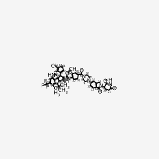 COc1cc(C(=O)N2CCN(c3ccc4c(c3)CN(C3CCC(=O)NC3=O)C4=O)CC2)ccc1NC(=O)[C@@H]1N[C@@H](CC(C)(C)C)[C@@]2(CNc3cc(C(F)(F)F)ncc32)[C@H]1c1cccc(Cl)c1F